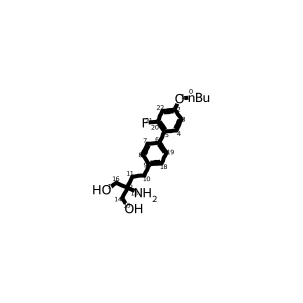 CCCCOc1ccc(-c2ccc(CCC(N)(CO)CO)cc2)c(F)c1